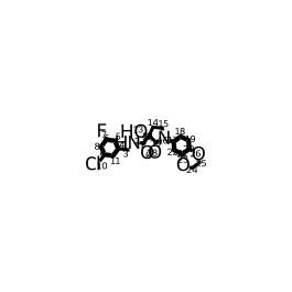 O=C(NCc1cc(F)cc(Cl)c1)[C@]1(O)CCN(c2ccc3c(c2)OCCO3)C1=O